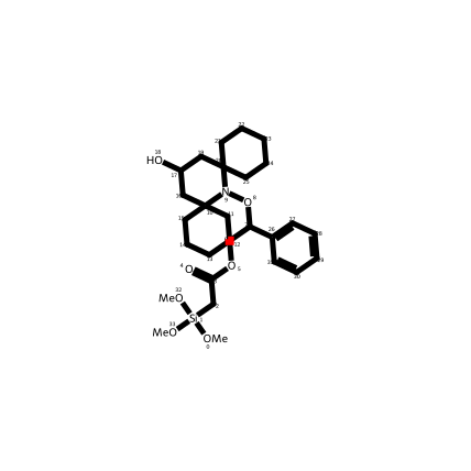 CO[Si](CC(=O)OCC(ON1C2(CCCCC2)CC(O)CC12CCCCC2)c1ccccc1)(OC)OC